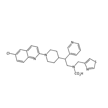 O=C(O)N(Cc1cscn1)CC(c1cccnc1)C1CCN(c2ccc3cc(Cl)ccc3n2)CC1